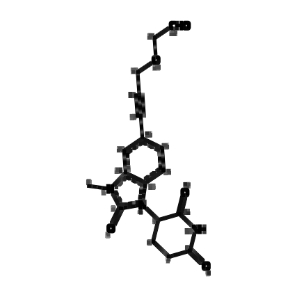 Cn1c(=O)n(C2CCC(=O)NC2=O)c2ccc(C#CCOCC=O)cc21